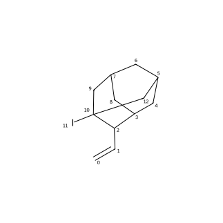 C=CC1C2CC3CC(C2)CC1(I)C3